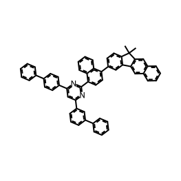 CC1(C)c2ccc(-c3ccc(-c4nc(-c5ccc(-c6ccccc6)cc5)cc(-c5cccc(-c6ccccc6)c5)n4)c4ccccc34)cc2-c2cc3ccccc3cc21